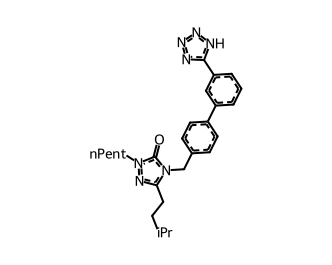 CCCCCn1nc(CCC(C)C)n(Cc2ccc(-c3cccc(-c4nnn[nH]4)c3)cc2)c1=O